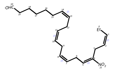 CC/C=C\C/C(=C\C/C=C\C/C=C\C/C=C\CCCCC[C]=O)[N+](=O)[O-]